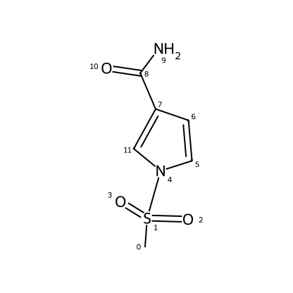 CS(=O)(=O)n1ccc(C(N)=O)c1